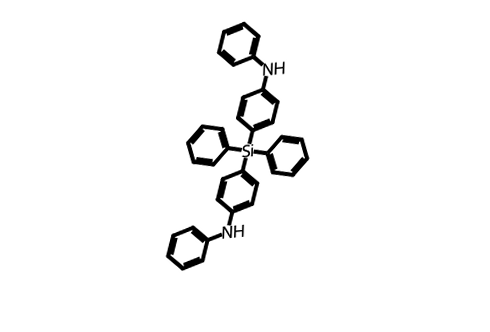 c1ccc(Nc2ccc([Si](c3ccccc3)(c3ccccc3)c3ccc(Nc4ccccc4)cc3)cc2)cc1